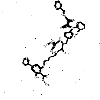 COC(=O)N[C@@H](Cc1ccc(N(C(=O)C(=O)OCc2ccccc2)C2=CC=CCC2=C=O)cc1)C(=O)NCCCCOc1cc(-c2ccccc2)cc(O)c1C(=O)OC